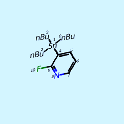 CCC[CH2][Sn]([CH2]CCC)([CH2]CCC)[c]1cccnc1F